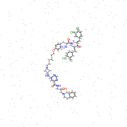 NC(Cc1ccc(OCCCCCCN2CC(Nc3cc(C(=O)NCC(O)CN4CCc5ccccc5C4)ncn3)C2)cc1)C(=O)N1CC(=Cc2ccc(Cl)c(Cl)c2)C(=O)C(=Cc2ccc(Cl)c(Cl)c2)C1